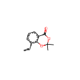 C=Cc1cccc2c1OC(C)(C)OC2=O